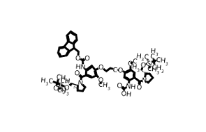 COc1cc(C(=O)N2CCC[C@H]2CO[Si](C)(C)C(C)(C)C)c(NC(=O)O)cc1OCCCOc1cc(NC(=O)OCC2c3ccccc3-c3ccccc32)c(C(=O)N2CCC[C@H]2CO[Si](C)(C)C(C)(C)C)cc1OC